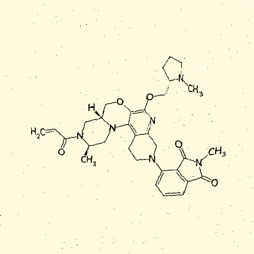 C=CC(=O)N1C[C@@H]2COc3c(OC[C@@H]4CCCN4C)nc4c(c3N2C[C@H]1C)CCN(c1cccc2c1C(=O)N(C)C2=O)C4